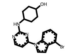 OC1CCC(Nc2nccc(-n3ccc4c(Br)cccc43)n2)CC1